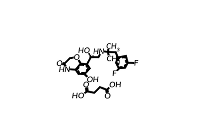 CC(C)(Cc1cc(F)cc(F)c1)NC[C@H](O)c1cc(O)cc2c1OCC(=O)N2.O=C(O)CCC(=O)O